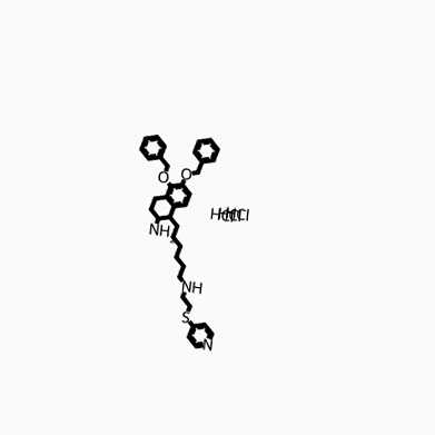 Cl.Cl.Cl.NC1CCc2c(ccc(OCc3ccccc3)c2OCc2ccccc2)C1CCCCCCNCCSc1ccncc1